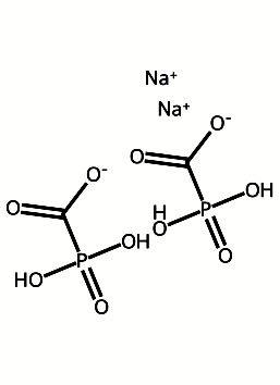 O=C([O-])P(=O)(O)O.O=C([O-])P(=O)(O)O.[Na+].[Na+]